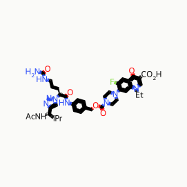 CCn1cc(C(=O)O)c(=O)c2cc(F)c(N3CCN(C(=O)OCc4ccc(NC(=O)[C@H](CCCNC(N)=O)n5cc([C@@H](NC(C)=O)C(C)C)nn5)cc4)CC3)cc21